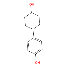 Oc1ccc(C2CCC(O)CC2)cc1